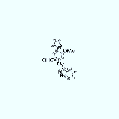 COc1cc(OCn2nnc3ccccc32)c(C=O)cc1-c1cccs1